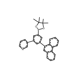 CC1(C)OB(c2cc(-c3cccnc3)cc(-c3cc4ccccc4c4ccccc34)c2)OC1(C)C